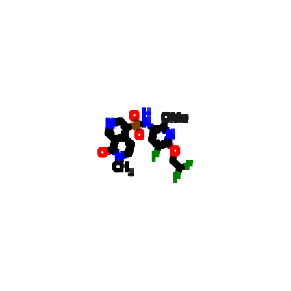 COc1nc(OCC(F)F)c(F)cc1NS(=O)(=O)c1cncc2c(=O)n(C)ccc12